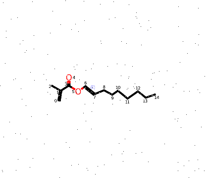 C=C(C)C(=O)O/C=C/CCCCCCC